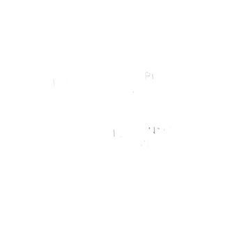 CC=CCc1cc(Br)cc([N+](=O)[O-])c1O